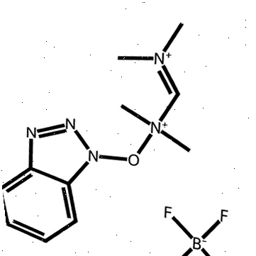 C[N+](C)=C[N+](C)(C)On1nnc2ccccc21.F[B-](F)(F)F